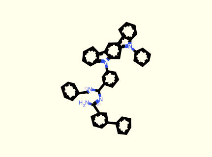 N/C(=N\C(/N=C/c1ccccc1)c1cccc(-n2c3ccccc3c3cc4c5ccccc5n(-c5ccccc5)c4cc32)c1)c1cccc(-c2ccccc2)c1